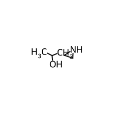 C1CN1.CC(C)O